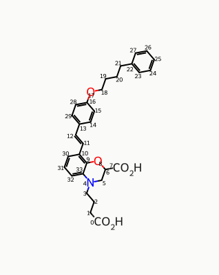 O=C(O)CCCN1CC(C(=O)O)Oc2c(C=Cc3ccc(OCCCCc4ccccc4)cc3)cccc21